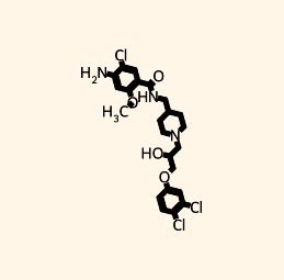 COc1cc(N)c(Cl)cc1C(=O)NCC1CCN(CC(O)COc2ccc(Cl)c(Cl)c2)CC1